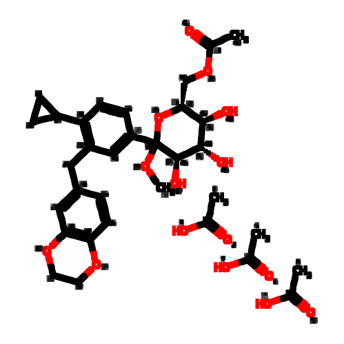 CC(=O)O.CC(=O)O.CC(=O)O.COC1(c2ccc(C3CC3)c(Cc3ccc4c(c3)OCCO4)c2)O[C@H](COC(C)=O)[C@@H](O)[C@H](O)[C@H]1O